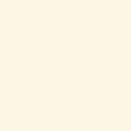 O=C(OC1CCCS1)C(F)(F)C(F)(F)C(F)(F)C(F)(F)C(F)(F)C(F)(F)C(F)(F)F